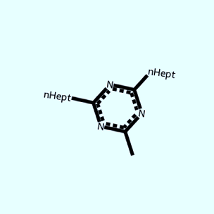 CCCCCCCc1nc(C)nc(CCCCCCC)n1